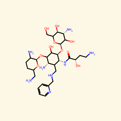 NCC[C@H](O)C(=O)N[C@@H]1C(CNCc2ccccn2)[C@H](N)C(O[C@H]2OC(CN)CCC2N)C(O)[C@H]1O[C@H]1OC(CO)[C@@H](O)[C@H](N)C1O